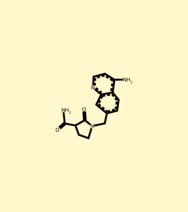 NC(=O)C1CCN(Cc2ccc3c(N)ccnc3c2)C1=O